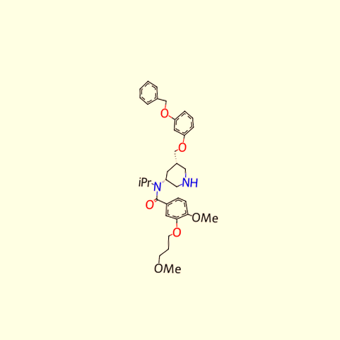 COCCCOc1cc(C(=O)N(C(C)C)[C@H]2CNC[C@@H](COc3cccc(OCc4ccccc4)c3)C2)ccc1OC